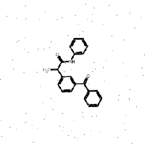 CC(C(=O)Nc1ccccc1)c1cccc(C(=O)c2ccccc2)c1